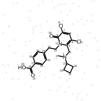 CN(Cc1c(Cl)cc(Cl)c(=O)n1CCc1ccc(C(=O)O)cc1)C1CCC1